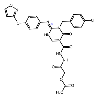 CC(=O)OCC(=O)NNC(=O)c1c[nH]/c(=N\c2ccc(Oc3ccon3)cc2)n(Cc2ccc(Cl)cc2)c1=O